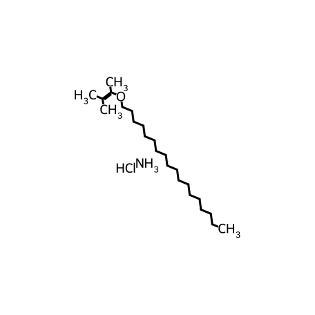 CCCCCCCCCCCCCCCCCCOC(C)=C(C)C.Cl.N